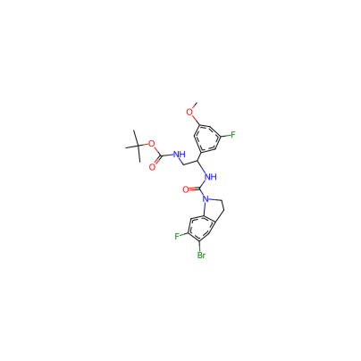 COc1cc(F)cc(C(CNC(=O)OC(C)(C)C)NC(=O)N2CCc3cc(Br)c(F)cc32)c1